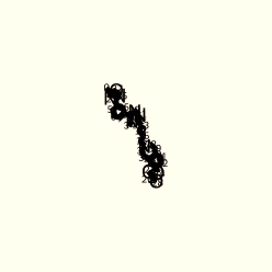 Cc1nc(-c2cccc(-c3nnc(SCCCN4CCc5ccc(OS(C)(=O)=O)cc5CC4)n3C)c2)no1